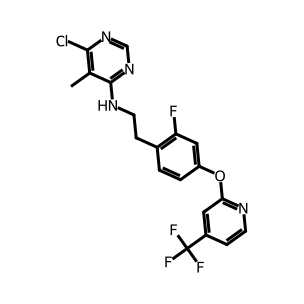 Cc1c(Cl)ncnc1NCCc1ccc(Oc2cc(C(F)(F)F)ccn2)cc1F